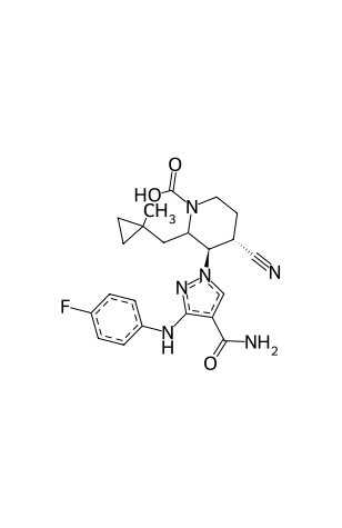 CC1(CC2[C@H](n3cc(C(N)=O)c(Nc4ccc(F)cc4)n3)[C@@H](C#N)CCN2C(=O)O)CC1